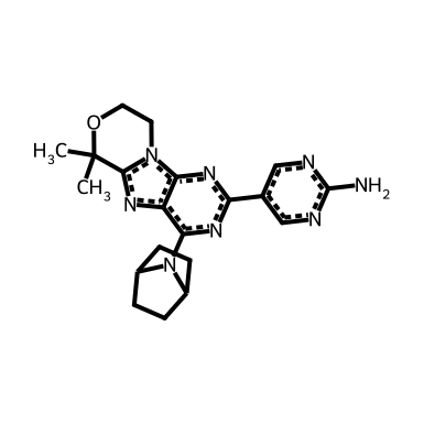 CC1(C)OCCn2c1nc1c(N3C4CCC3CC4)nc(-c3cnc(N)nc3)nc12